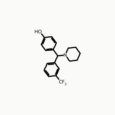 Oc1ccc(C(c2cccc(C(F)(F)F)c2)N2CCCCC2)cc1